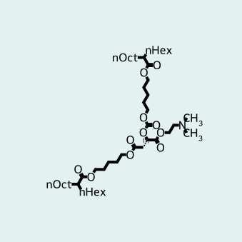 CCCCCCCCC(CCCCCC)C(=O)OCCCCCOC(=O)C[C@H](OC(=O)OCCCCCOC(=O)C(CCCCCC)CCCCCCCC)C(=O)OCCN(C)C